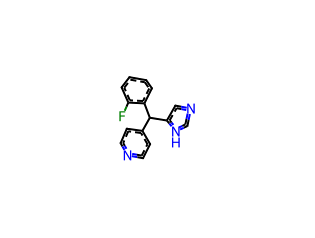 Fc1ccccc1C(c1ccncc1)c1cnc[nH]1